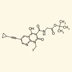 CC(C)(C)OC(=O)CNC(=O)c1c(O)c2cc(C#CC3CC3)cnc2n(CI)c1=O